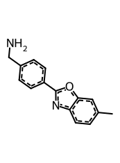 Cc1ccc2nc(-c3ccc(CN)cc3)oc2c1